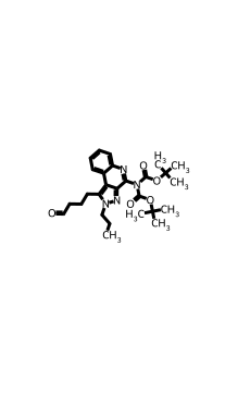 CCCn1nc2c(N(C(=O)OC(C)(C)C)C(=O)OC(C)(C)C)nc3ccccc3c2c1CCCC=O